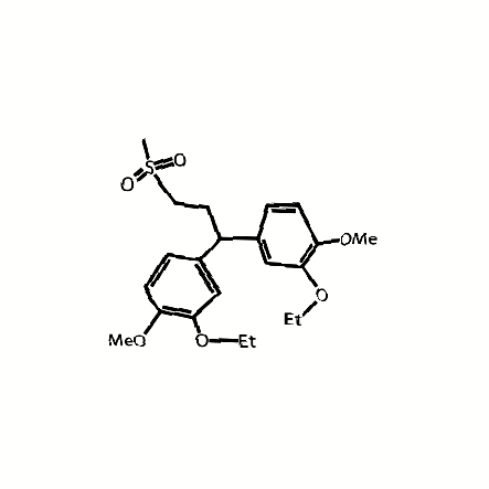 CCOc1cc(C(CCS(C)(=O)=O)c2ccc(OC)c(OCC)c2)ccc1OC